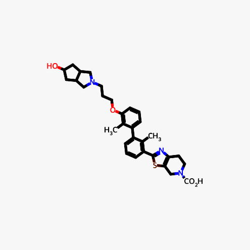 Cc1c(OCCCN2CC3CC(O)CC3C2)cccc1-c1cccc(-c2nc3c(s2)CN(C(=O)O)CC3)c1C